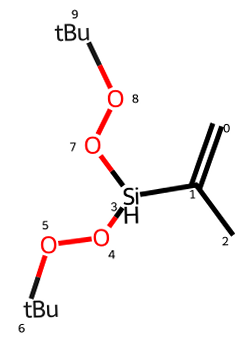 C=C(C)[SiH](OOC(C)(C)C)OOC(C)(C)C